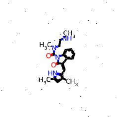 CNCCN(C)C(=O)N1C(=O)/C(=C\c2[nH]c(C)cc2C)c2ccccc21